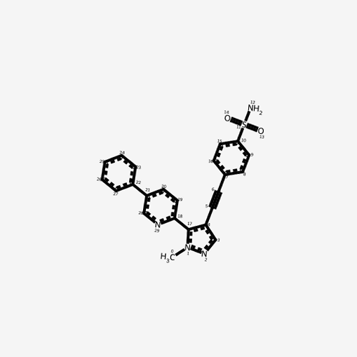 Cn1ncc(C#Cc2ccc(S(N)(=O)=O)cc2)c1-c1ccc(-c2ccccc2)cn1